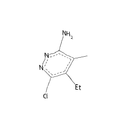 CCc1c(Cl)nnc(N)c1C